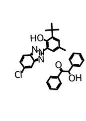 Cc1cc(-n2nc3ccc(Cl)cc3n2)c(O)c(C(C)(C)C)c1.O=C(c1ccccc1)C(O)c1ccccc1